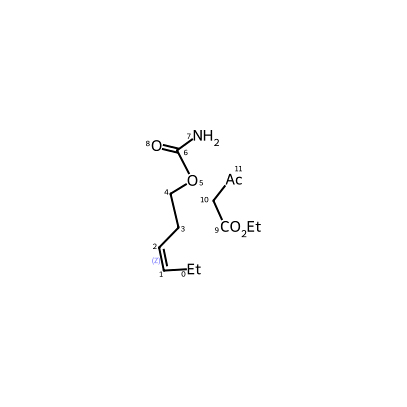 CC/C=C\CCOC(N)=O.CCOC(=O)CC(C)=O